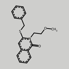 COCCn1c(SCc2ccccc2)cc2ccccc2c1=O